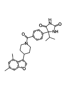 Cc1cc(C)c2c(C3CCN(C(=O)c4ccc(C5(C(C)C)NC(=O)NC5=O)cc4)CC3)coc2c1